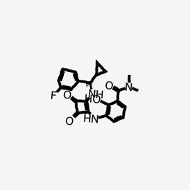 CN(C)C(=O)c1cccc(Nc2c(N[C@@H](c3cccc(F)c3)C3CC3)c(=O)c2=O)c1O